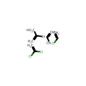 C=C(CC)C(=O)O.C=C(Cl)Cl.C=CC#N.C=CCl